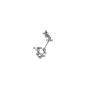 CC1(N)CCN(c2cnc(Sc3cccc(NC(=O)CCC(=O)N4CCN(CCCCCCCCC(=O)Nc5ccc6c(c5)C(=O)N(C5CCC(=O)NC5=O)C6)CC4)c3)cn2)CC1